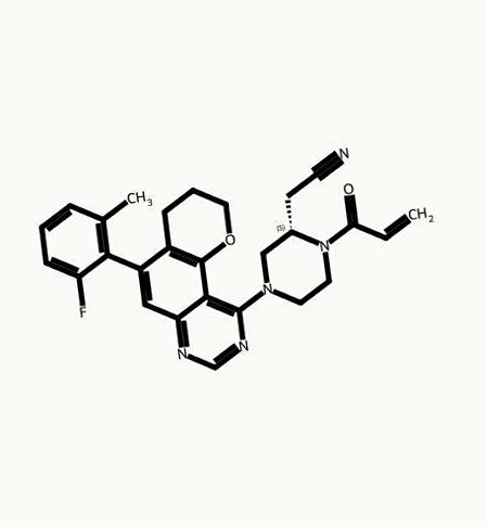 C=CC(=O)N1CCN(c2ncnc3cc(-c4c(C)cccc4F)c4c(c23)OCCC4)C[C@@H]1CC#N